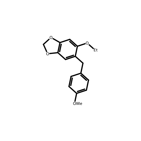 CCOc1cc2c(cc1Cc1ccc(OC)cc1)OCO2